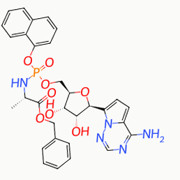 C[C@H](NP(=O)(OC[C@H]1O[C@@H](c2ccc3c(N)ncnn23)[C@H](O)[C@@H]1O)Oc1cccc2ccccc12)C(=O)OCc1ccccc1